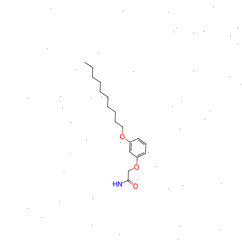 CCCCCCCCCCOc1cccc(OCC([NH])=O)c1